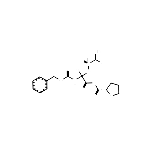 CCCCC(O)[PH](=O)OC(CCCC)(NC(=O)OCc1ccccc1)C(=O)OC(=O)[C@@H]1CCCN1